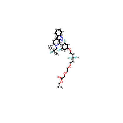 CCOC(=O)COCCOCCC(F)(F)CCOc1cc(F)c([C@@H]2c3[nH]c4ccccc4c3C[C@@H](C)N2CC(C)(C)F)c(F)c1